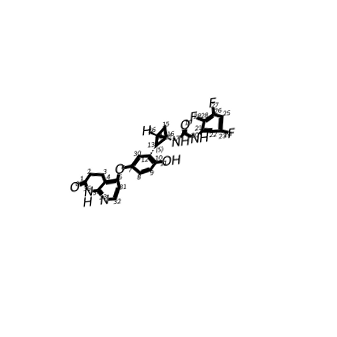 O=C1CCc2c(Oc3ccc(O)c([C@@H]4[C@@H]5C[C@@]45NC(=O)Nc4cc(F)cc(F)c4F)c3)ccnc2N1